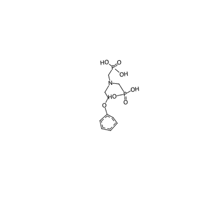 O=P(O)(O)CN(CCOc1ccccc1)CP(=O)(O)O